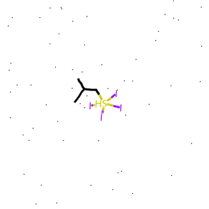 CC(C)C[SH](I)(I)(I)I